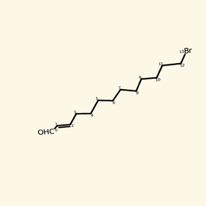 O=C/C=C/CCCCCCCCCCBr